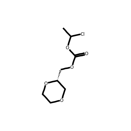 CC(Cl)OC(=O)OC[C@@H]1COCCO1